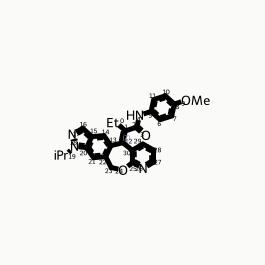 CC/C(C(=O)Nc1ccc(OC)cc1)=C1\c2cc3cnn(C(C)C)c3cc2COc2ncccc21